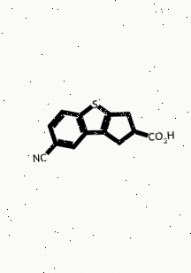 N#Cc1ccc2sc3c(c2c1)CC(C(=O)O)C3